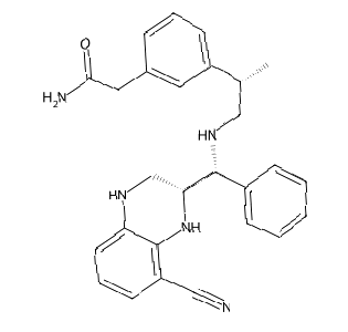 C[C@H](CN[C@H](c1ccccc1)[C@H]1CNc2cccc(C#N)c2N1)c1cccc(CC(N)=O)c1